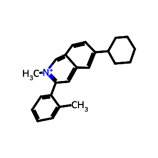 Cc1ccccc1-c1cc2cc(C3CCCCC3)ccc2c[n+]1C